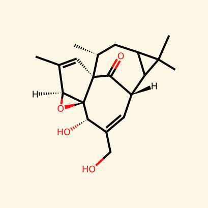 CC1=C[C@]23C(=O)[C@@H](C=C(CO)[C@H](O)[C@@]24O[C@@H]14)C1C(C[C@H]3C)C1(C)C